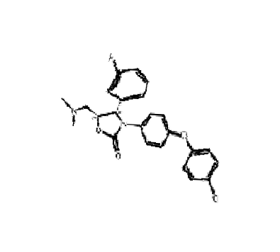 CN(C)C[C@@H]1OC(=O)N(c2ccc(Oc3ccc(Cl)cc3)cc2)[C@H]1c1cccc(F)c1